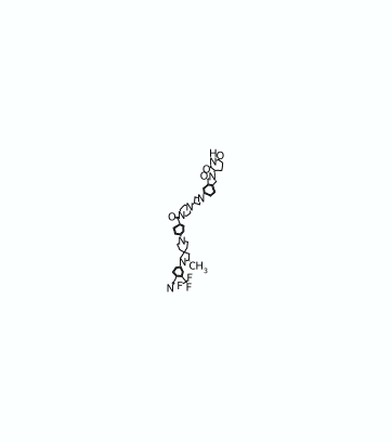 C[C@H]1CC2(CCN(c3ccc(C(=O)N4CCN(C5CN(c6ccc7c(c6)C(=O)N(C6CCC(=O)NC6=O)C7)C5)CC4)cc3)CC2)CN1c1ccc(C#N)c(C(F)(F)F)c1